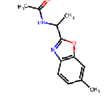 CC(=O)NC(C)c1nc2ccc(C)cc2o1